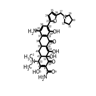 CN(C)[C@@H]1C(O)=C(C(N)=O)C(=O)C2(O)C(O)=C3C(=O)c4c(O)c(-c5ccc(CN6CCCC6)o5)cc(N)c4CC3CC12